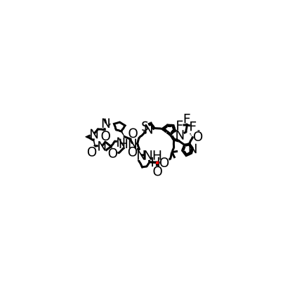 CO[C@@H](C)c1ncccc1-c1c2c3cc(ccc3n1CC(F)(F)F)-c1csc(n1)C[C@H](NC(=O)[C@H](C1CCCC1)N1CCOC3(CN(C(=O)[C@H]4CN4CC(=O)N(C)C)C3)C1)C(=O)N1CCC[C@H](N1)C(=O)OCC(C)(C)C2